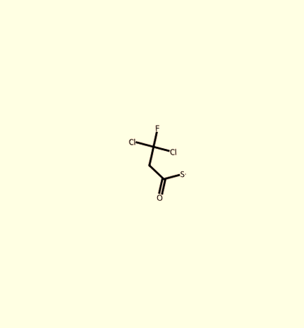 O=C([S])CC(F)(Cl)Cl